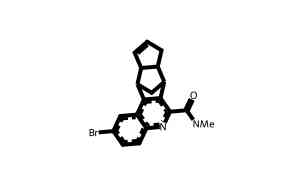 CNC(=O)c1nc2ccc(Br)cc2c2c1C1CC2C2C=CCC12